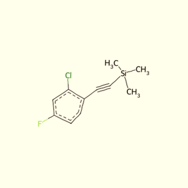 C[Si](C)(C)C#Cc1ccc(F)cc1Cl